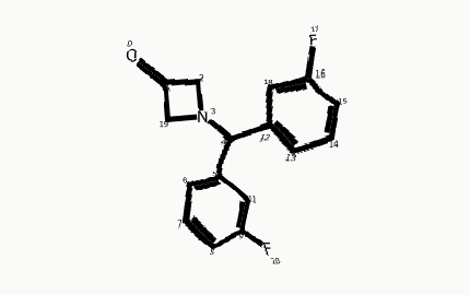 O=C1CN(C(c2cccc(F)c2)c2cccc(F)c2)C1